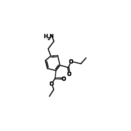 CCOC(=O)c1ccc(CCN)cc1C(=O)OCC